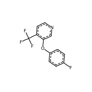 Fc1ccc(Oc2cnccc2C(F)(F)F)cc1